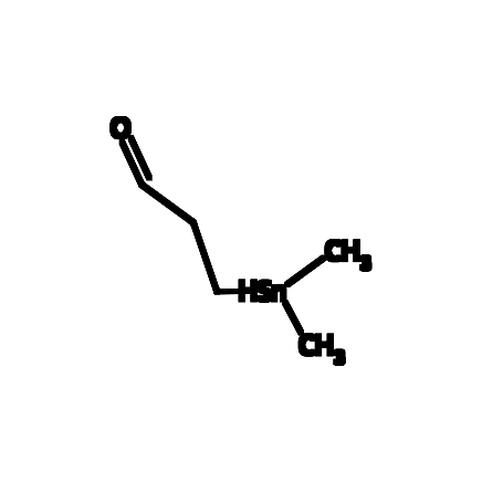 [CH3][SnH]([CH3])[CH2]CC=O